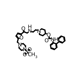 CS(=O)(=O)N1CCN(Cc2ccc(C(=O)CNCCN3CCC(OC(=O)Nc4ccccc4-c4ccccc4)CC3)o2)CC1